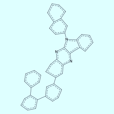 c1ccc(-c2ccccc2-c2cccc(-c3ccc4nc5c(nc4c3)c3ccccc3n5-c3ccc4ccccc4c3)c2)cc1